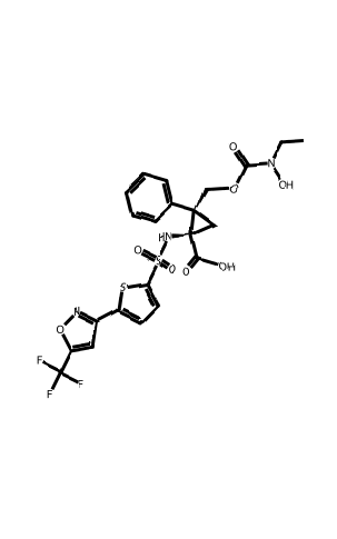 CCN(O)C(=O)OC[C@@]1(c2ccccc2)C[C@]1(NS(=O)(=O)c1ccc(-c2cc(C(F)(F)F)on2)s1)C(=O)O